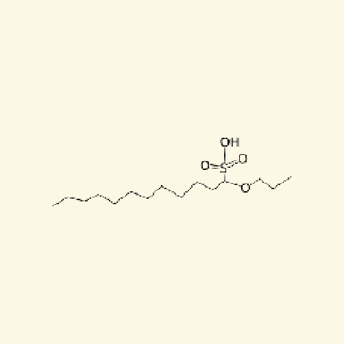 CCCCCCCCCCCC(OCCC)S(=O)(=O)O